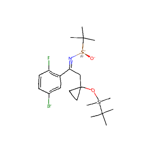 CC(C)(C)[S@@+]([O-])N=C(CC1(O[Si](C)(C)C(C)(C)C)CC1)c1cc(Br)ccc1F